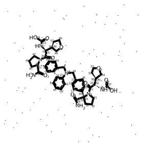 NC(=O)[C@@]1(c2ccc(CN(Cc3ccc([C@]4(C(N)=O)CCCN4C(=O)[C@@H](NC(=O)O)[C@H]4CCOC4)cc3)c3ccccc3)cc2)CCCN1C(=O)[C@@H](NC(=O)O)[C@H]1CCOC1